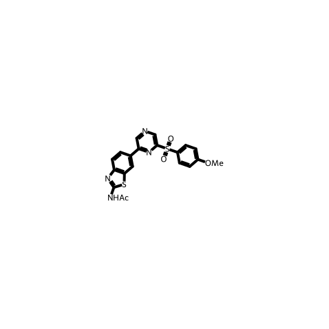 COc1ccc(S(=O)(=O)c2cncc(-c3ccc4nc(NC(C)=O)sc4c3)n2)cc1